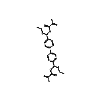 C=C(C)C(=O)OC(SCC)c1ccc(-c2ccc(C(OC(=O)C(=C)C)SCC)cc2)cc1